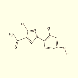 CCOc1ccc(-n2cc(C(N)=O)c(CC)n2)c(Cl)c1